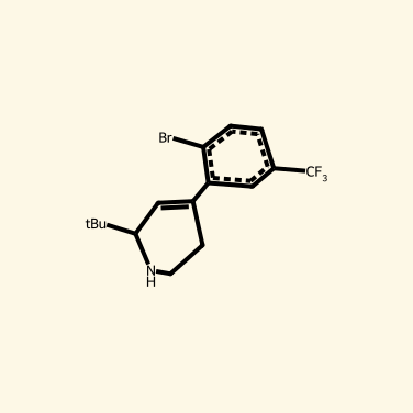 CC(C)(C)C1C=C(c2cc(C(F)(F)F)ccc2Br)CCN1